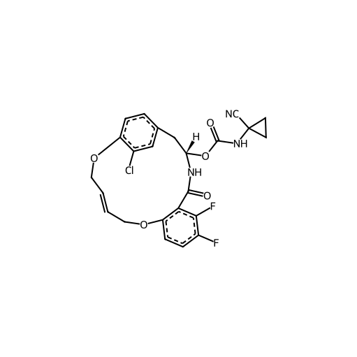 N#CC1(NC(=O)O[C@H]2Cc3ccc(c(Cl)c3)OC/C=C/COc3ccc(F)c(F)c3C(=O)N2)CC1